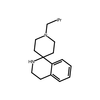 CC(C)CN1CCC2(CC1)NCCc1ccccc12